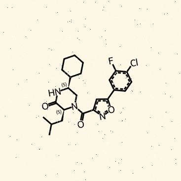 CC(C)C[C@H]1C(=O)N[C@@H](C2CCCCC2)CN1C(=O)c1cc(-c2ccc(Cl)c(F)c2)on1